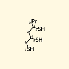 CC(C)C(S)CC(S)CS